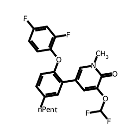 CCCCCc1ccc(Oc2ccc(F)cc2F)c(-c2cc(OC(F)F)c(=O)n(C)c2)c1